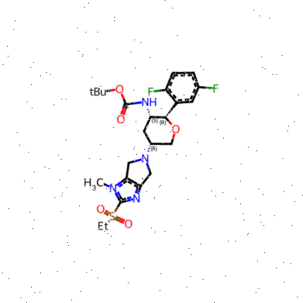 CCS(=O)(=O)c1nc2c(n1C)CN([C@H]1CO[C@H](c3cc(F)ccc3F)[C@@H](NC(=O)OC(C)(C)C)C1)C2